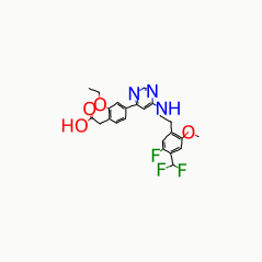 CCOc1cc(-c2cc(NCCc3cc(F)c(C(F)F)cc3OC)ncn2)ccc1CC(=O)O